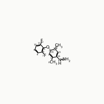 CC1=C[C@H](Oc2c(F)cccc2F)N(C)C=C1NN